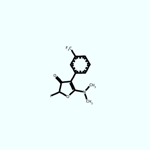 CN(C)C1=C(c2cccc(C(F)(F)F)c2)C(=O)C(I)O1